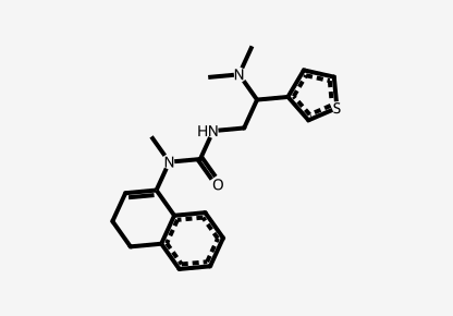 CN(C(=O)NCC(c1ccsc1)N(C)C)C1=CCCc2ccccc21